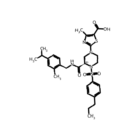 CCCc1ccc(S(=O)(=O)N2CCN(c3nc(C)c(C(=O)O)s3)C[C@@H]2C(=O)NCc2ccc(C(C)C)cc2C)cc1